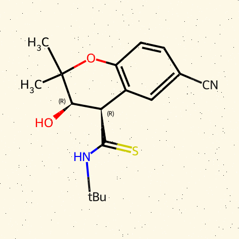 CC(C)(C)NC(=S)[C@@H]1c2cc(C#N)ccc2OC(C)(C)[C@@H]1O